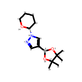 CC1(C)OB(c2cnn([C@H]3CCCCO3)c2)OC1(C)C